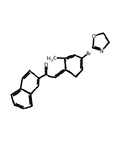 C1=NCCO1.CC1=CC(Br)=CCC1=CC(=O)c1ccc2ccccc2c1